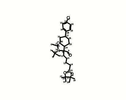 CC(=O)N(C(C)(C)C)C(C=O)(CCCCB1OC(C)(C)C(C)(C)O1)C1CCC(c2ccc(Cl)cc2)CC1